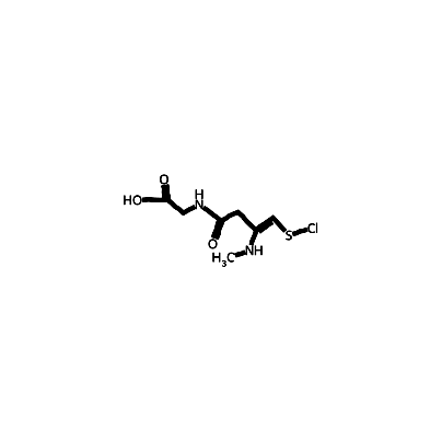 CN/C(=C\SCl)CC(=O)NCC(=O)O